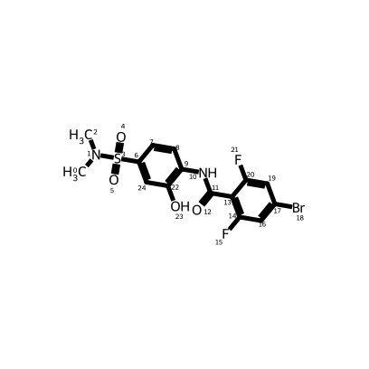 CN(C)S(=O)(=O)c1ccc(NC(=O)c2c(F)cc(Br)cc2F)c(O)c1